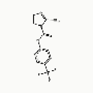 NC1=NCCN1C(=O)Nc1ccc(C(F)(F)F)cc1